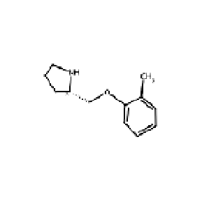 Cc1ccccc1OC[C@@H]1CCCN1